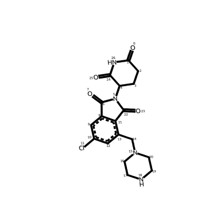 O=C1CCC(N2C(=O)c3cc(Cl)cc(CN4CCNCC4)c3C2=O)C(=O)N1